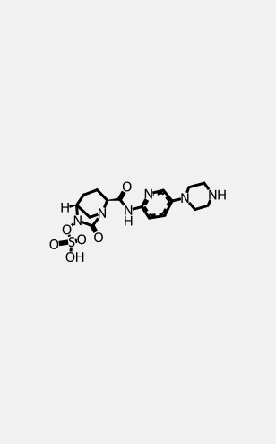 O=C(Nc1ccc(N2CCNCC2)cn1)[C@@H]1CC[C@@H]2CN1C(=O)N2OS(=O)(=O)O